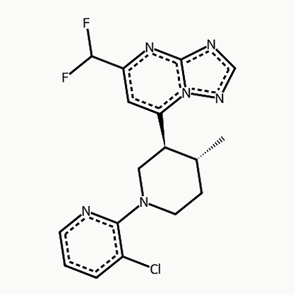 C[C@@H]1CCN(c2ncccc2Cl)C[C@H]1c1cc(C(F)F)nc2ncnn12